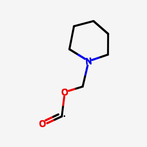 O=[C]OCN1CCCCC1